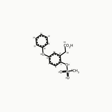 CS(=O)(=O)Oc1ccc(Oc2ccccc2)cc1CC(=O)O